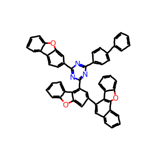 c1ccc(-c2ccc(-c3nc(-c4ccc5c(c4)oc4ccccc45)nc(-c4cc(-c5cc6ccccc6c6oc7ccccc7c56)cc5oc6ccccc6c45)n3)cc2)cc1